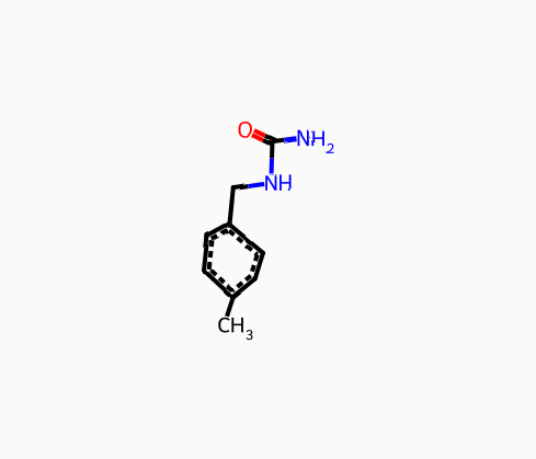 Cc1ccc(CNC(N)=O)cc1